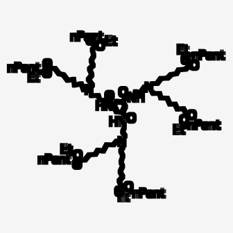 CCCCCC(CC)OC(=O)CCCCCCCCN(CCCCCCCCC(=O)OC(CC)CCCCC)CCCNC(=O)c1cc(NC(=O)CCCN(CCCCCCCCC(=O)OC(CC)CCCCC)CCCCCCCCC(=O)OC(CC)CCCCC)cc(C(=O)NCCCN(CCCCCCCCC(=O)OC(CC)CCCCC)CCCCCCCCC(=O)OC(CC)CCCCC)c1